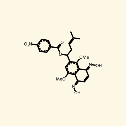 COc1cc(C(CC=C(C)C)OC(=O)c2ccc([N+](=O)[O-])cc2)c(OC)c2c1C(=NO)C=CC2=NO